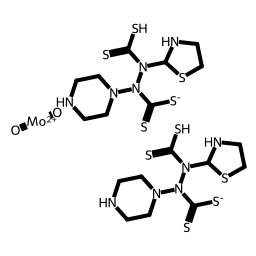 S=C(S)N(C1NCCS1)N(C(=S)[S-])N1CCNCC1.S=C(S)N(C1NCCS1)N(C(=S)[S-])N1CCNCC1.[O]=[Mo+2]=[O]